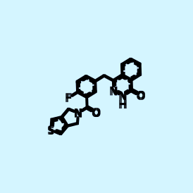 O=C(c1cc(Cc2n[nH]c(=O)c3ccccc23)ccc1F)N1Cc2cscc2C1